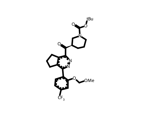 COCOc1cc(C(F)(F)F)ccc1-c1nnc(C(=O)[C@@H]2CCCN(C(=O)OC(C)(C)C)C2)c2c1CCC2